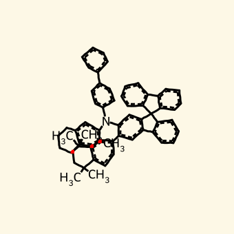 Cc1cc2c(cc1N(c1ccc(-c3ccccc3)cc1)c1cc3c(cc1-c1ccc4c(c1)C(C)(C)CCC4(C)C)-c1ccccc1C31c3ccccc3-c3ccccc31)CCCC2